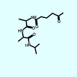 CC(=O)CCCC(=O)NC(C)C(=O)NC(C)C(=O)NC(C)C